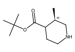 C[C@H]1CNCCC1C(=O)OC(C)(C)C